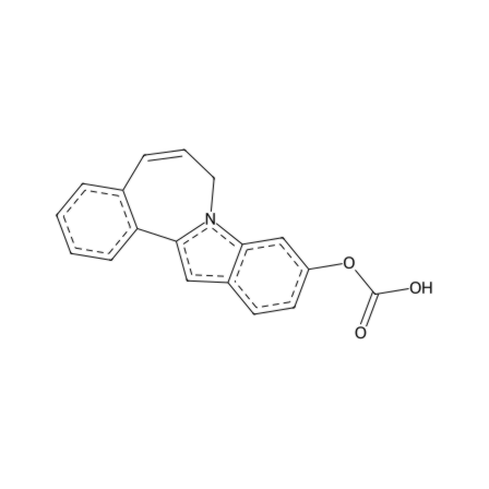 O=C(O)Oc1ccc2cc3n(c2c1)CC=Cc1ccccc1-3